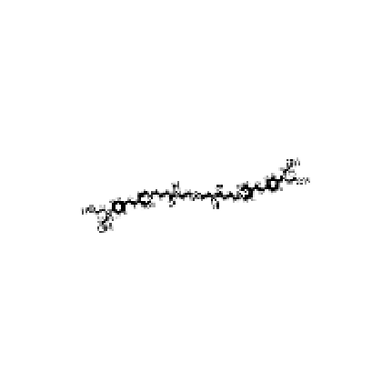 O=C(CCCN1C=CC(/C=C/c2ccc(N(CCO)CCO)cc2)=CC1)NCCSSCCNC(=O)CCC[n+]1ccc(/C=C/c2ccc(N(CCO)CCO)cc2)cc1